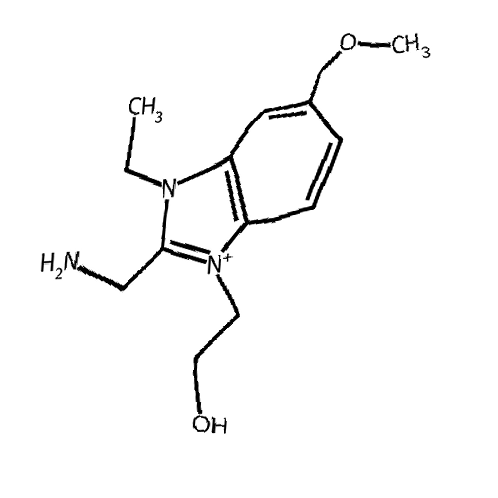 CCn1c(CN)[n+](CCO)c2ccc(OC)cc21